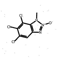 Cn1c2c(Cl)c(Cl)c(Cl)cc2n[n+]1[O-]